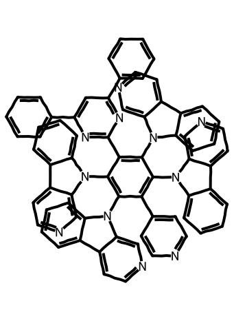 c1ccc(-c2cc(-c3ccccc3)nc(-c3c(-n4c5ccccc5c5ccncc54)c(-n4c5ccccc5c5ccncc54)c(-c4ccncc4)c(-n4c5ccccc5c5ccncc54)c3-n3c4ccccc4c4ccncc43)n2)cc1